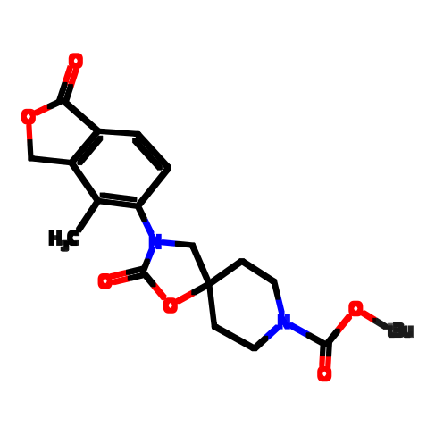 Cc1c(N2CC3(CCN(C(=O)OC(C)(C)C)CC3)OC2=O)ccc2c1COC2=O